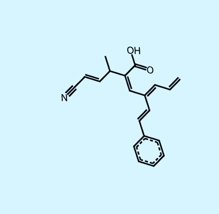 C=CC=C(C=Cc1ccccc1)C=C(C(=O)O)C(C)C=CC#N